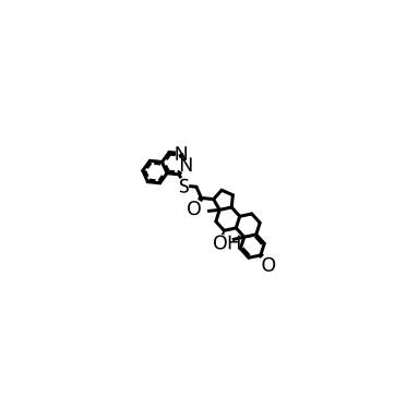 CC12C=CC(=O)C=C1CCC1C2[C@@H](O)CC2(C)C(C(=O)CSc3nncc4ccccc34)CCC12